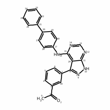 CC(=O)c1cccc(-c2n[nH]c3ncnc(Nc4ccc(-c5ccccc5)cc4)c23)c1